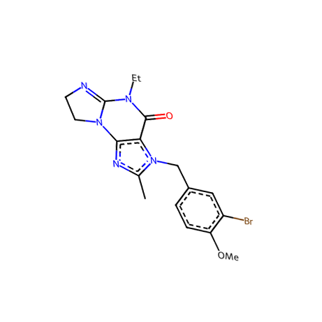 CCN1C(=O)c2c(nc(C)n2Cc2ccc(OC)c(Br)c2)N2CCN=C12